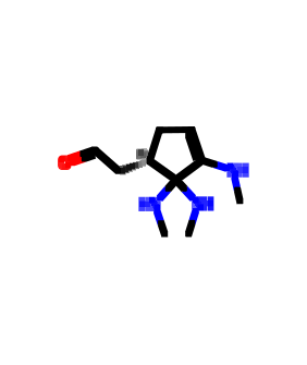 CNC1=CC[C@@H](CC=O)C1(NC)NC